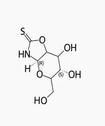 OCC1O[C@H]2NC(=S)OC2C(O)[C@@H]1O